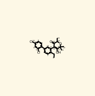 CCc1ccc(-c2ccc(Cl)cc2Cl)cc1C1=C(O)C(C)(C)OC(C)C1=O